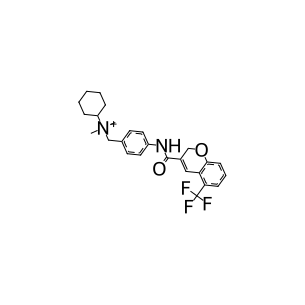 C[N+](C)(Cc1ccc(NC(=O)C2=Cc3c(cccc3C(F)(F)F)OC2)cc1)C1CCCCC1